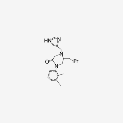 Cc1cccc(N2CC(CC(C)C)N(Cc3c[nH]cn3)CC2=O)c1C